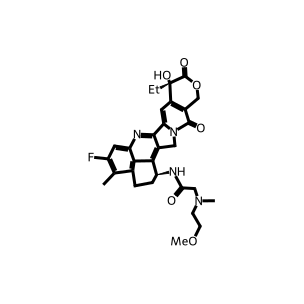 CC[C@@]1(O)C(=O)OCc2c1cc1n(c2=O)Cc2c-1nc1cc(F)c(C)c3c1c2[C@@H](NC(=O)CN(C)CCOC)CC3